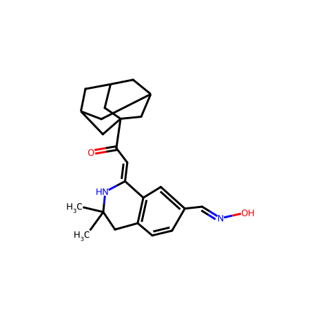 CC1(C)Cc2ccc(/C=N/O)cc2/C(=C/C(=O)C23CC4CC(CC(C4)C2)C3)N1